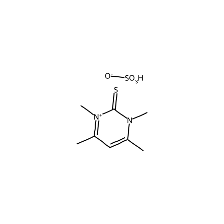 Cc1cc(C)[n+](C)c(=S)n1C.O=S(=O)([O-])O